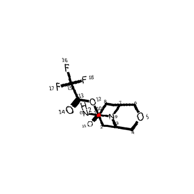 NC1CC2COCC(C1)N2C(=O)OC(=O)C(F)(F)F